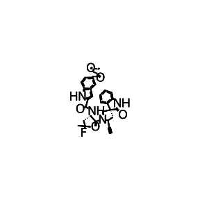 C#CC1C[C@@]2(CN1C(=O)[C@H](CC(C)(C)F)NC(=O)c1cc3cc(S(C)(=O)=O)ccc3[nH]1)C(=O)Nc1ccccc12